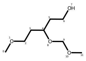 COCCC(CCO)OCOC